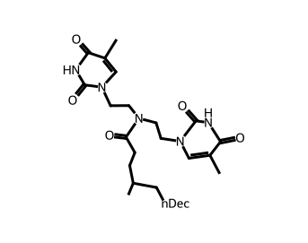 CCCCCCCCCCCC(C)CCC(=O)N(CCn1cc(C)c(=O)[nH]c1=O)CCn1cc(C)c(=O)[nH]c1=O